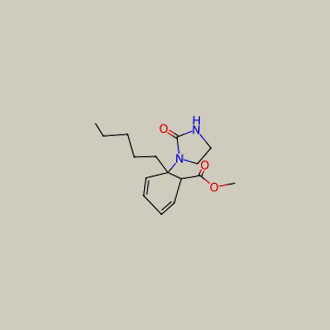 CCCCCC1(N2CCNC2=O)C=CC=CC1C(=O)OC